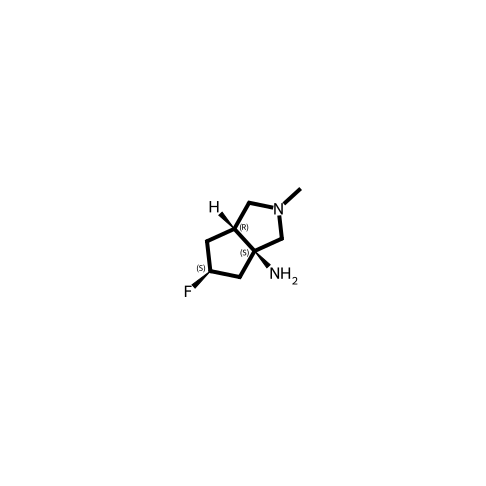 CN1C[C@H]2C[C@H](F)C[C@@]2(N)C1